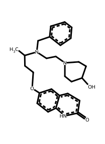 CC(CCOc1ccc2[nH]c(=O)ccc2c1)N(CCN1CCC(O)CC1)Cc1ccccc1